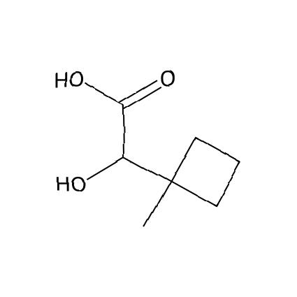 CC1(C(O)C(=O)O)CCC1